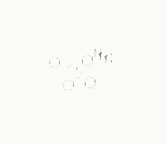 [N-]=[N+]=Nc1ccc(C(=O)C=Cc2ccccc2)cc1.c1ccc2c(c1)Cc1ccccc1S2